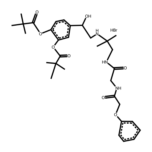 Br.CC(C)(CNC(=O)CNC(=O)COc1ccccc1)NCC(O)c1ccc(OC(=O)C(C)(C)C)c(OC(=O)C(C)(C)C)c1